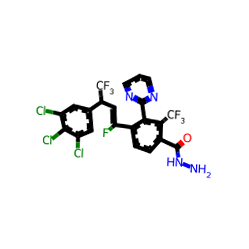 NNC(=O)c1ccc(C(F)=CC(c2cc(Cl)c(Cl)c(Cl)c2)C(F)(F)F)c(-c2ncccn2)c1C(F)(F)F